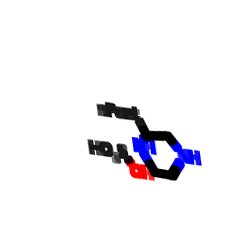 CCCCCC1CNCCN1.O=S(=O)(O)O